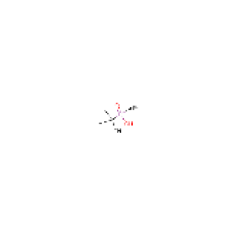 CCCP(=O)(O)C(C)(C)C#N